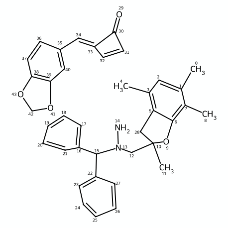 Cc1cc(C)c2c(c1C)OC(C)(CN(N)C(c1ccccc1)c1ccccc1)C2.O=C1C=CC1=Cc1ccc2c(c1)OCO2